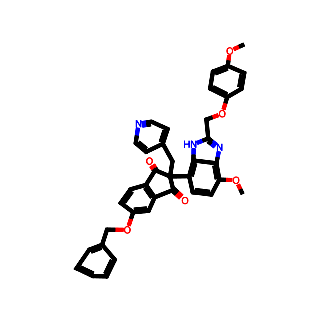 COc1ccc(OCc2nc3c(OC)ccc(C4(Cc5ccncc5)C(=O)c5ccc(OCc6ccccc6)cc5C4=O)c3[nH]2)cc1